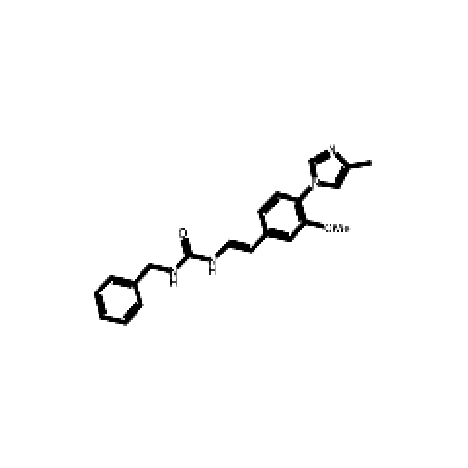 COc1cc(C=CNC(=O)NCc2ccccc2)ccc1-n1cnc(C)c1